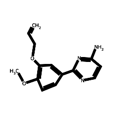 C=CCOc1cc(-c2nccc(N)n2)ccc1OC